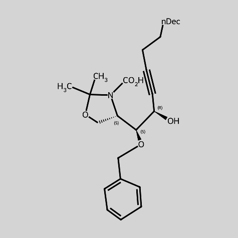 CCCCCCCCCCCCC#C[C@@H](O)[C@@H](OCc1ccccc1)[C@@H]1COC(C)(C)N1C(=O)O